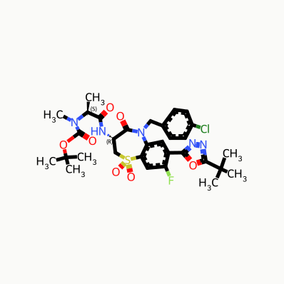 C[C@@H](C(=O)N[C@H]1CS(=O)(=O)c2cc(F)c(-c3nnc(C(C)(C)C)o3)cc2N(Cc2ccc(Cl)cc2)C1=O)N(C)C(=O)OC(C)(C)C